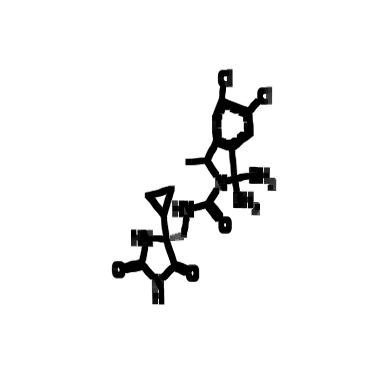 BC1(B)c2cc(Cl)c(Cl)cc2C(C)N1C(=O)NC[C@@]1(C2CC2)NC(=O)NC1=O